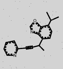 CC(C)c1ccc(C(C)C#Cc2ccccn2)c2ncoc12